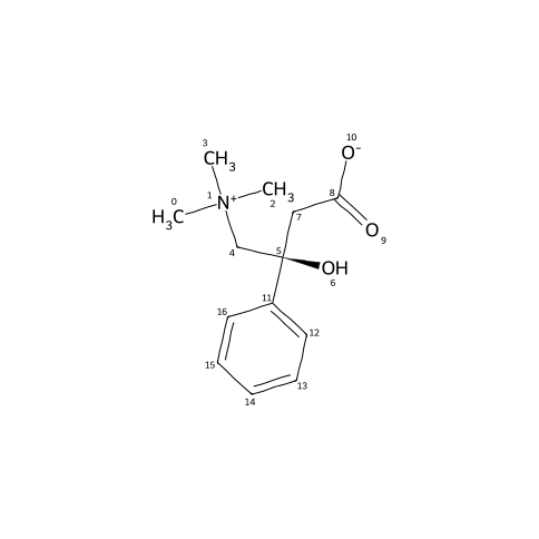 C[N+](C)(C)C[C@](O)(CC(=O)[O-])c1ccccc1